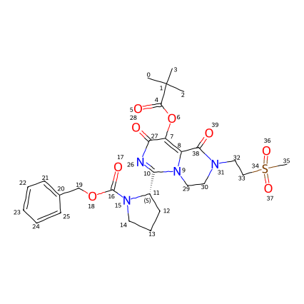 CC(C)(C)C(=O)Oc1c2n(c([C@@H]3CCCN3C(=O)OCc3ccccc3)nc1=O)CCN(CCS(C)(=O)=O)C2=O